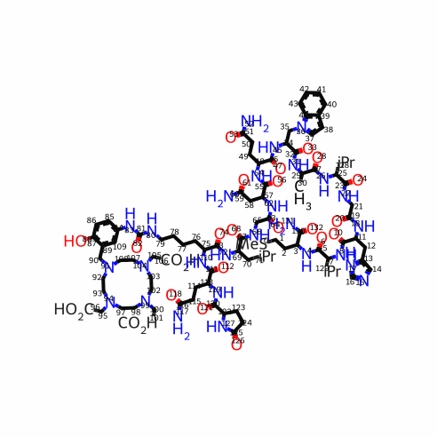 CSCCC(NC(=O)C(NC(=O)C(Cc1cnc[nH]1)NC(=O)CNC(=O)C(NC(=O)C(C)NC(=O)C(Cn1ccc2ccccc21)NC(=O)C(CCC(N)=O)NC(=O)C(CC(N)=O)NC(=O)CNC(=O)C(CC(C)C)NC(=O)C(CCCCNC(=O)Nc1ccc(O)c(CN2CCN(CC(=O)O)CCN(CC(=O)O)CCN(CC(=O)O)CC2)c1)NC(=O)C(CCC(N)=O)NC(=O)C1CCC(=O)N1)C(C)C)C(C)C)C(N)=O